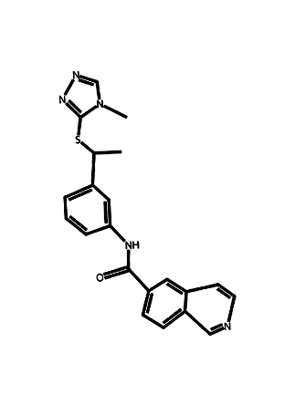 CC(Sc1nncn1C)c1cccc(NC(=O)c2ccc3cnccc3c2)c1